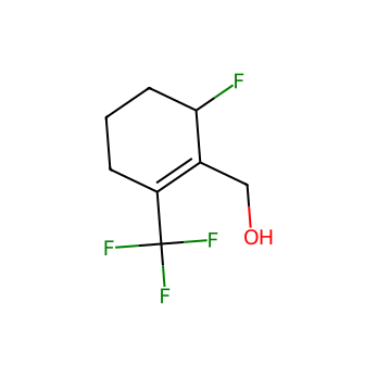 OCC1=C(C(F)(F)F)CCCC1F